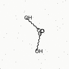 OCCCCCCCCCCOc1ccccc1OCCCCCCCCCCO